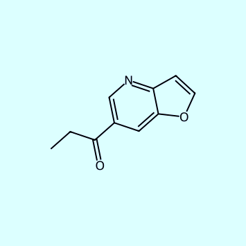 CCC(=O)c1cnc2ccoc2c1